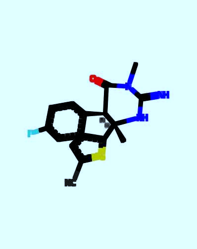 CN1C(=N)N[C@](C)(c2ccc(C#N)s2)[C@@H](c2ccc(F)cc2)C1=O